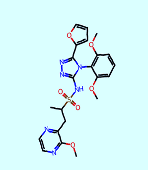 COc1cccc(OC)c1-n1c(NS(=O)(=O)C(C)Cc2nccnc2OC)nnc1-c1ccco1